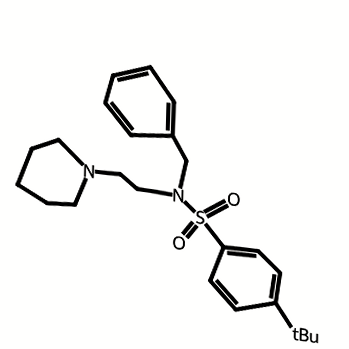 CC(C)(C)c1ccc(S(=O)(=O)N(CCN2CCCCC2)Cc2ccccc2)cc1